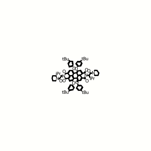 CC(C)C(C(=O)N1CCCCC1)N1C(=O)c2cc(Oc3ccc(C(C)(C)C)cc3)c3c4c(Oc5ccc(C(C)(C)C)cc5)cc5c6c(cc(Oc7ccc(C(C)(C)C)cc7)c(c7c(Oc8ccc(C(C)(C)C)cc8)cc(c2c37)C1=O)c64)C(=O)N(C(C(=O)N1CCCCC1)C(C)C)C5=O